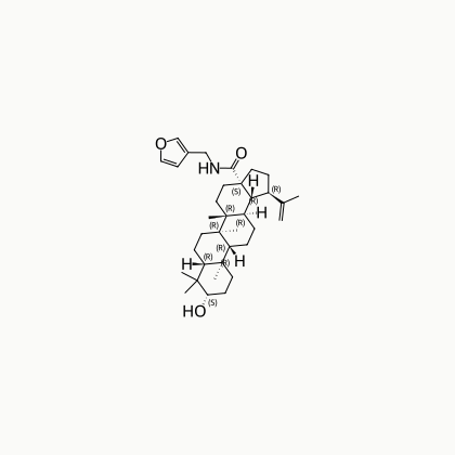 C=C(C)[C@@H]1CC[C@]2(C(=O)NCc3ccoc3)CC[C@]3(C)[C@H](CC[C@@H]4[C@@]5(C)CC[C@H](O)C(C)(C)[C@@H]5CC[C@]43C)[C@@H]12